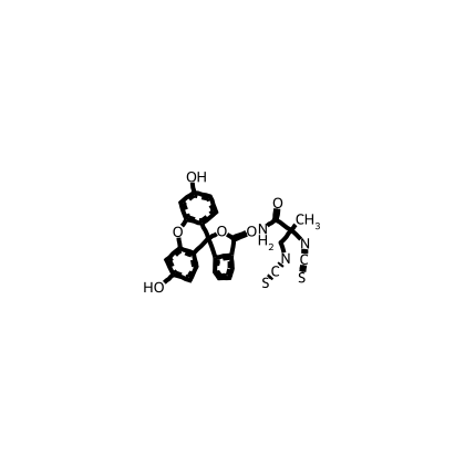 CC(CN=C=S)(N=C=S)C(N)=O.O=C1OC2(c3ccc(O)cc3Oc3cc(O)ccc32)c2ccccc21